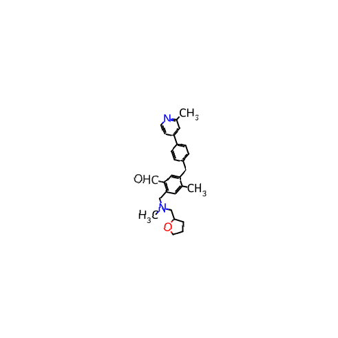 Cc1cc(-c2ccc(Cc3cc(C=O)c(CN(C)CC4CCCO4)cc3C)cc2)ccn1